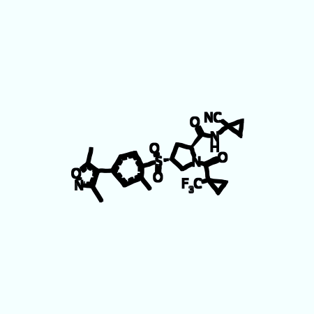 Cc1cc(-c2c(C)noc2C)ccc1S(=O)(=O)[C@@H]1C[C@@H](C(=O)NC2(C#N)CC2)N(C(=O)C2(C(F)(F)F)CC2)C1